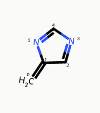 C=C1C=N[C]=N1